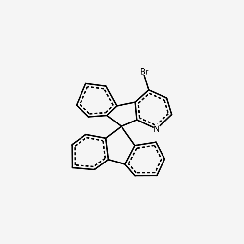 Brc1ccnc2c1-c1ccccc1C21c2ccccc2-c2ccccc21